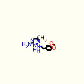 C[C@H]1CN=C(N)NC(NCCc2ccc3c(c2)OCO3)=N1